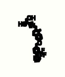 CC1=C(CN2C=C(/C(O)=C\O)C2)CCc2cc(OCc3ccc(-n4cccn4)c(C(F)(F)F)c3)ccc21